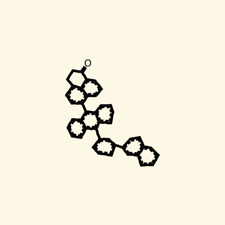 O=C1CCc2ccc(-c3c4ccccc4c(-c4cccc(-c5ccc6ccccc6c5)c4)c4ccccc34)c3cccc1c23